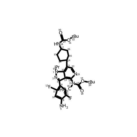 CC(C)n1nc(-c2cc(F)c(N)cc2F)c2c(N(C(=O)O)C(=O)OC(C)(C)C)ncc(C3CCC(NC(=O)OC(C)(C)C)CC3)c21